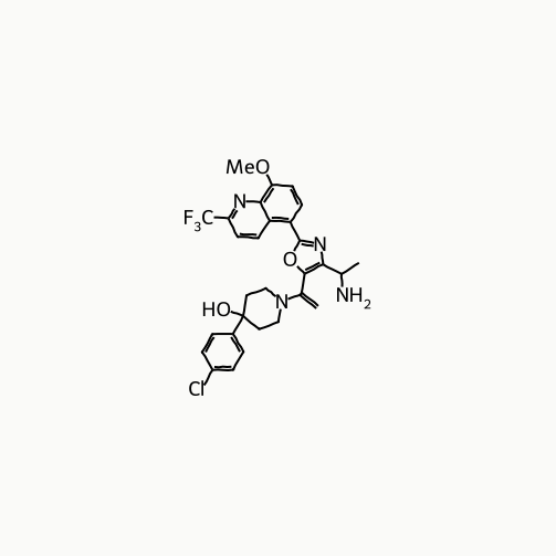 C=C(c1oc(-c2ccc(OC)c3nc(C(F)(F)F)ccc23)nc1C(C)N)N1CCC(O)(c2ccc(Cl)cc2)CC1